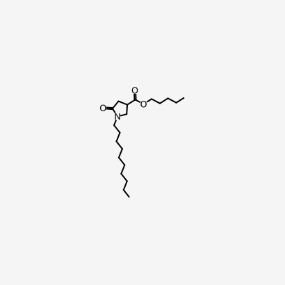 CCCCCCCCCCN1CC(C(=O)OCCCCC)CC1=O